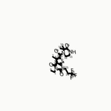 CCn1c(=O)c2c(C)c(C(=O)N3CCNC(=O)C3(C)C)sc2n(CCC(F)(F)F)c1=O